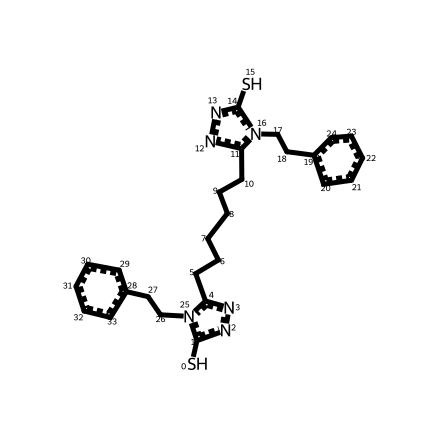 Sc1nnc(CCCCCCc2nnc(S)n2CCc2ccccc2)n1CCc1ccccc1